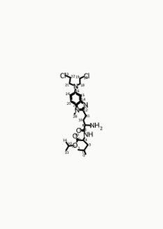 CC(C)CC(NC(=O)C(N)CCc1nc2cc(N(CCCl)CCCl)ccc2n1C)C(=O)OC(C)C